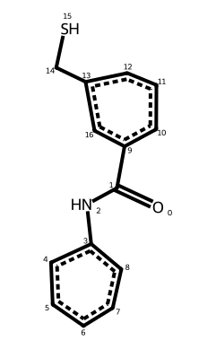 O=C(Nc1ccccc1)c1cccc(CS)c1